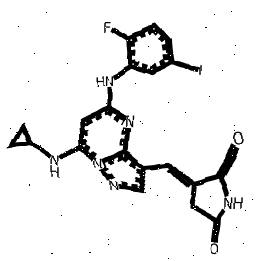 O=C1C/C(=C\c2cnn3c(NC4CC4)cc(Nc4cc(I)ccc4F)nc23)C(=O)N1